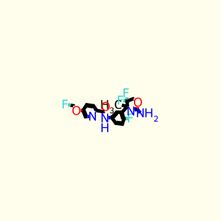 CC1(c2cc(NC(=O)c3ccc(OCF)cn3)ccc2F)N=C(N)OCC1(F)F